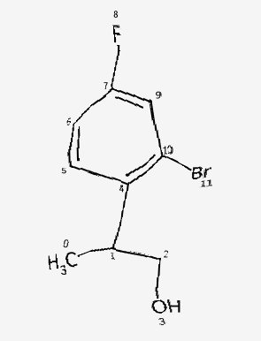 CC(CO)c1ccc(F)cc1Br